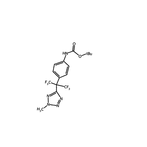 Cn1nnc(C(c2ccc(NC(=O)OC(C)(C)C)cc2)(C(F)(F)F)C(F)(F)F)n1